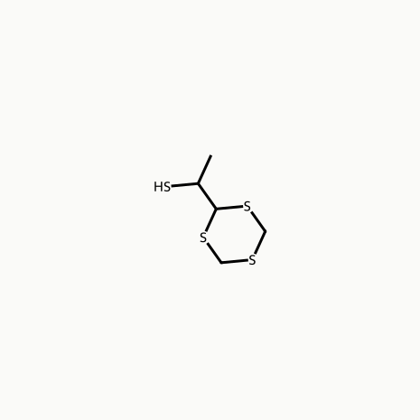 CC(S)C1SCSCS1